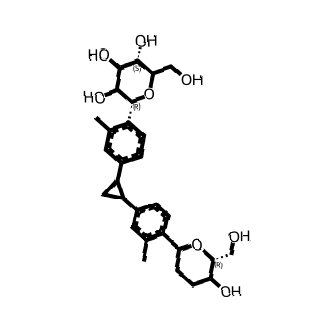 Cc1cc(C2CC2c2ccc([C@H]3OC(CO)[C@@H](O)C(O)C3O)c(C)c2)ccc1C1CCC(O)[C@@H](CO)O1